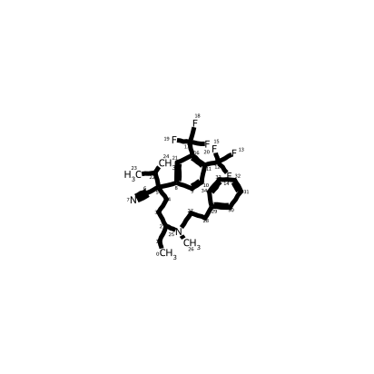 CCC(CCC(C#N)(c1ccc(C(F)(F)F)c(C(F)(F)F)c1)C(C)C)N(C)CCc1ccccc1